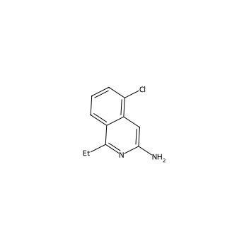 CCc1nc(N)cc2c(Cl)cccc12